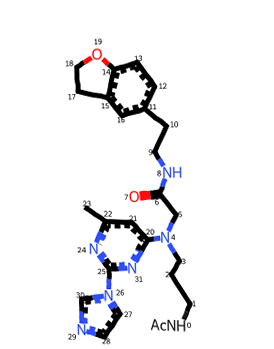 CC(=O)NCCCN(CC(=O)NCCc1ccc2c(c1)CCO2)c1cc(C)nc(-n2ccnc2)n1